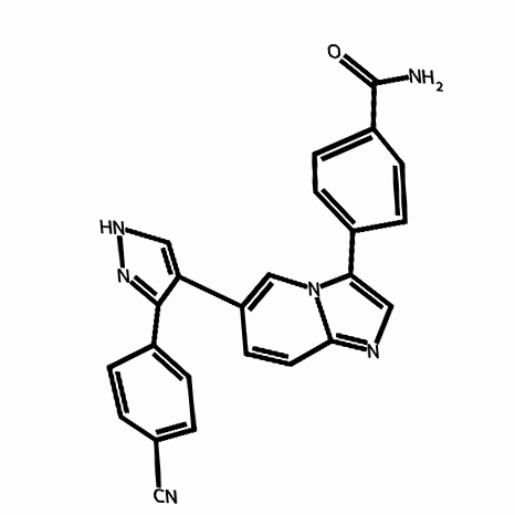 N#Cc1ccc(-c2n[nH]cc2-c2ccc3ncc(-c4ccc(C(N)=O)cc4)n3c2)cc1